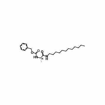 CCCCCCCCCCCCNC(=O)[C@H](C)NC(=O)OCc1ccccc1